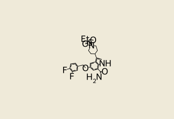 CCS(=O)(=O)N1CCC(c2c[nH]c3c(C(N)=O)cc(OCc4ccc(F)c(F)c4)cc23)CC1